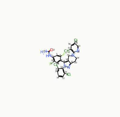 NC(=O)Nc1cc(F)c(-c2c3c(nn2-c2c(Cl)cccc2Cl)CCN(c2ncc(Cl)cc2Cl)C3)cc1F